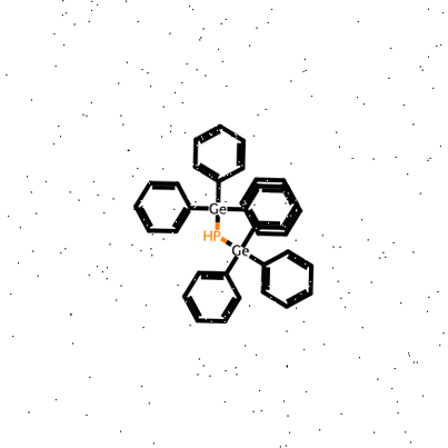 c1cc[c]([Ge]([PH][Ge]([c]2ccccc2)([c]2ccccc2)[c]2ccccc2)([c]2ccccc2)[c]2ccccc2)cc1